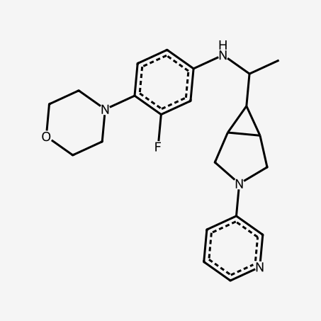 CC(Nc1ccc(N2CCOCC2)c(F)c1)C1C2CN(c3cccnc3)CC21